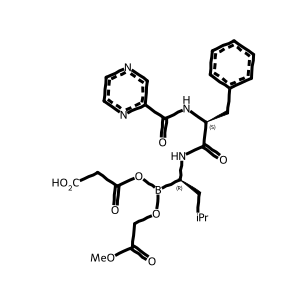 COC(=O)COB(OC(=O)CC(=O)O)[C@H](CC(C)C)NC(=O)[C@H](Cc1ccccc1)NC(=O)c1cnccn1